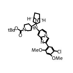 COc1cc(OC)c(-c2cn3ccc(N[C@H]4C[C@H]5CC[C@@H](C4)N5CC4CCN(C(=O)OC(C)(C)C)CC4)cc3n2)cc1Cl